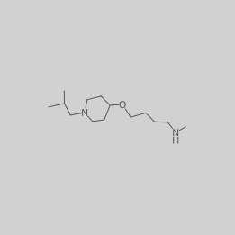 CNCCCCOC1CCN(CC(C)C)CC1